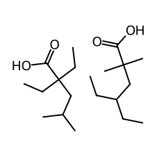 CCC(CC)(CC(C)C)C(=O)O.CCC(CC)CC(C)(C)C(=O)O